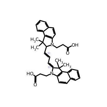 CC1(C)/C(=C\C=C\C2N(CCC(=O)O)c3ccc4ccccc4c3C2(C)C)N(CCC(=O)O)c2ccc3ccccc3c21